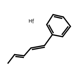 CC=CC=Cc1ccccc1.[Hf]